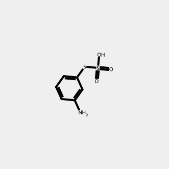 Nc1cccc(SS(=O)(=O)O)c1